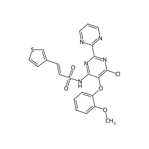 COc1ccccc1Oc1c(Cl)nc(-c2ncccn2)nc1NS(=O)(=O)C=Cc1ccsc1